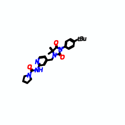 CC(C)(C)c1ccc(N2C(=O)N(Cc3ccnc(NC(=O)N4CCCC4)c3)C(C)(C)C2=O)cc1